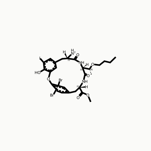 CCCCO[C@H](C)[C@@H]1NC(=O)[C@@H](N)Cc2cc(I)c(O)c(c2)Oc2c(Br)cc(cc2Br)C[C@@H](C(=O)OC)NC1=O